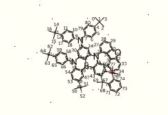 CC(C)(C)c1ccc(N(c2ccc(C(C)(C)C)cc2)c2cc3c4c(c2)N(c2cccc5oc6ccccc6c25)c2cc5c(cc2B4c2cc(C(C)(C)C)ccc2N3c2ccc(C(C)(C)C)cc2)C(C)(C)c2ccccc2C5(C)C)cc1